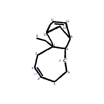 CC12C/C=C\CCCC1C1C=CC2C1